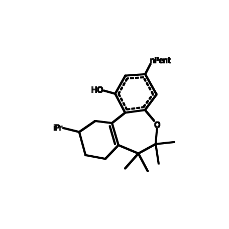 CCCCCc1cc(O)c2c(c1)OC(C)(C)C(C)(C)C1=C2CC(C(C)C)CC1